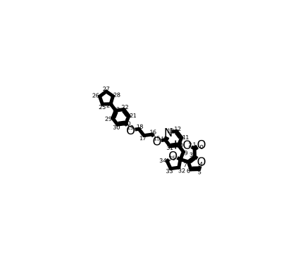 O=C(O)c1occc1C1(Cc2ccnc(OCCCOc3ccc(C4CCCC4)cc3)c2)CCCO1